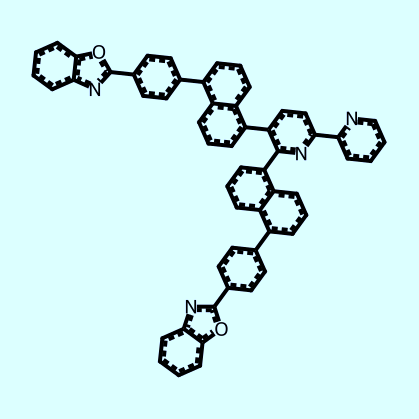 c1ccc(-c2ccc(-c3cccc4c(-c5ccc(-c6nc7ccccc7o6)cc5)cccc34)c(-c3cccc4c(-c5ccc(-c6nc7ccccc7o6)cc5)cccc34)n2)nc1